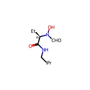 CC[C@H](C(=O)NCC(C)C)N(O)C=O